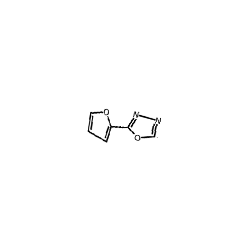 [c]1nnc(-c2ccco2)o1